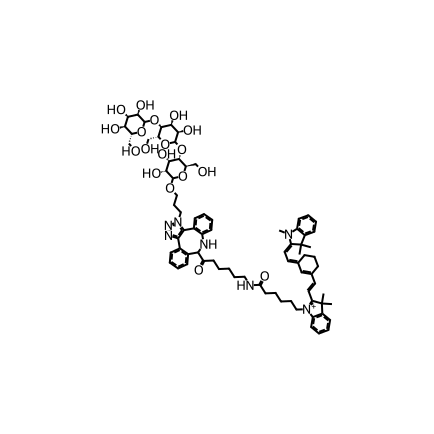 CN1/C(=C/C=C2C=C(/C=C/C3=[N+](CCCCCC(=O)NCCCCCC(=O)C4Nc5ccccc5-c5c(nnn5CCCOC5O[C@H](CO)[C@@H](OC6O[C@H](CO)[C@@H](OC7O[C@H](CO)[C@@H](O)[C@@H](O)[C@H]7O)[C@@H](O)[C@H]6O)[C@@H](O)[C@H]5O)-c5ccccc54)c4ccccc4C3(C)C)CCC/2)C(C)(C)c2ccccc21